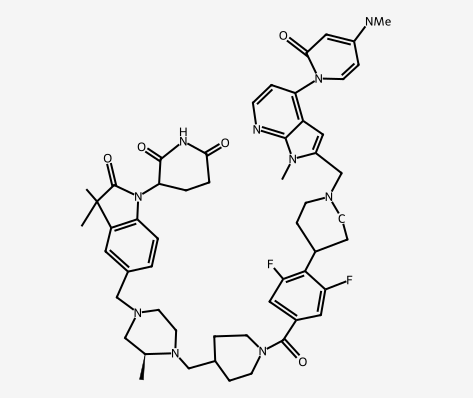 CNc1ccn(-c2ccnc3c2cc(CN2CCC(c4c(F)cc(C(=O)N5CCC(CN6CCN(Cc7ccc8c(c7)C(C)(C)C(=O)N8C7CCC(=O)NC7=O)C[C@@H]6C)CC5)cc4F)CC2)n3C)c(=O)c1